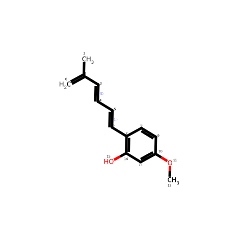 C=C(C)/C=C/C=C/c1ccc(OC)cc1O